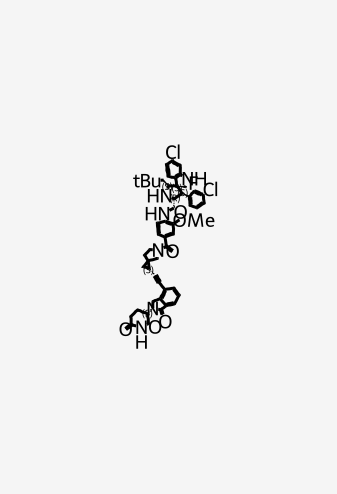 COc1cc(C(=O)N2CCC3(C[C@H]3C#Cc3cccc4c3CN([C@H]3CCC(=O)NC3=O)C4=O)C2)ccc1NC(=O)[C@@H]1N[C@@H](CC(C)(C)C)[C@@]2(CNc3cc(Cl)ccc32)[C@H]1c1cccc(Cl)c1F